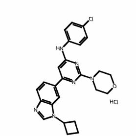 Cl.Clc1ccc(Nc2cc(-c3ccc4ncn(C5CCC5)c4c3)nc(N3CCOCC3)n2)cc1